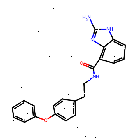 Nc1nc2c(C(=O)NCCc3ccc(Oc4ccccc4)cc3)cccc2[nH]1